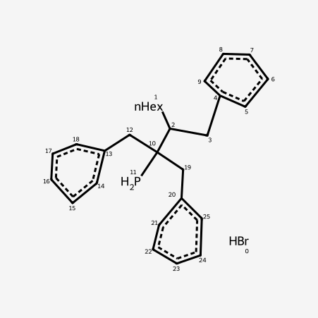 Br.CCCCCCC(Cc1ccccc1)C(P)(Cc1ccccc1)Cc1ccccc1